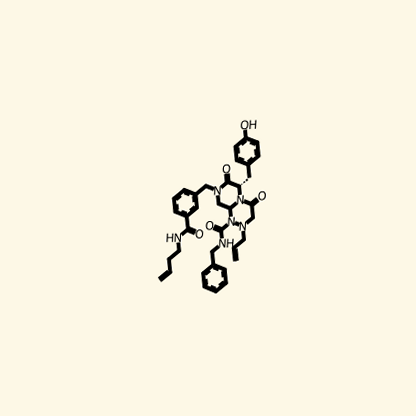 C=CCCNC(=O)c1cccc(CN2CC3N(C(=O)CN(CC=C)N3C(=O)NCc3ccccc3)[C@@H](Cc3ccc(O)cc3)C2=O)c1